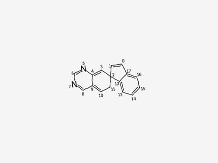 C1=CC2(C=c3ncncc3=CC2)c2ccccc21